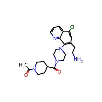 CC(=O)N1CCC(C(=O)N2CCN(c3c(CCN)cc(Cl)c4cccnc34)CC2)CC1